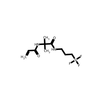 C=CC(=O)NC(C)(C)C(=O)NCCC[Si](F)(F)F